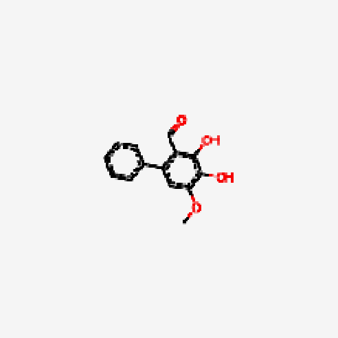 COc1cc(-c2ccccc2)c(C=O)c(O)c1O